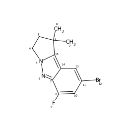 CC1(C)CCn2nc3c(F)cc(Br)cc3c21